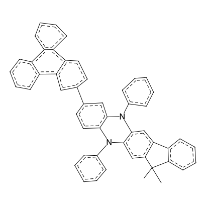 CC1(C)c2ccccc2-c2cc3c(cc21)N(c1ccccc1)c1ccc(-c2ccc4c5ccccc5c5ccccc5c4c2)cc1N3c1ccccc1